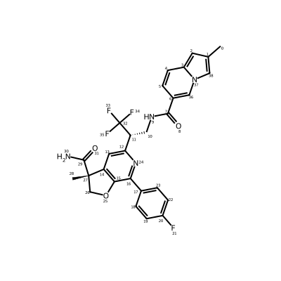 Cc1cc2ccc(C(=O)NC[C@H](c3cc4c(c(-c5ccc(F)cc5)n3)OC[C@]4(C)C(N)=O)C(F)(F)F)cn2c1